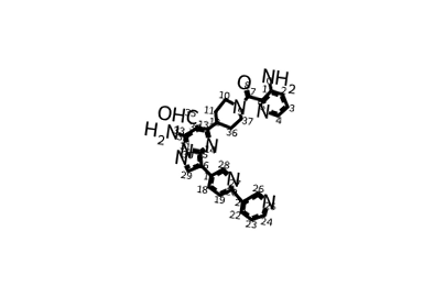 Nc1cccnc1C(=O)N1CCC(c2nc3c(-c4ccc(-c5cccnc5)nc4)cnn3c(N)c2C=O)CC1